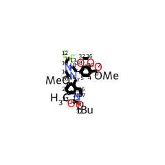 COC(=O)c1ccc([C@@H]2CN(CC(F)F)CCN2Cc2c(OC)cc(C)c3c2ccn3C(=O)OC(C)(C)C)c2c1OCCO2